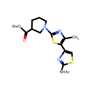 COC(=O)C1CCCN(c2nc(C)c(-c3csc(NC(C)=O)n3)s2)C1